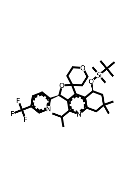 CC(C)c1nc2c(c3c1[C@@H](c1ccc(C(F)(F)F)cn1)OC31CCOCC1)[C@@H](O[Si](C)(C)C(C)(C)C)CC(C)(C)C2